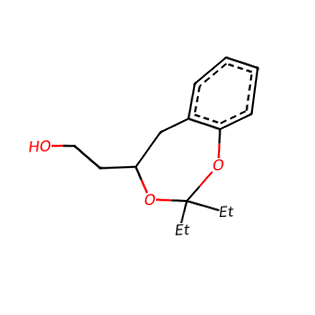 CCC1(CC)Oc2ccccc2CC(CCO)O1